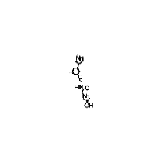 Cn1cc(-c2c[c]cc(OCCNC(=O)CN3CC[C@@H](O)C3)c2)cn1